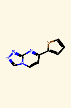 c1csc(-c2ccn3cnnc3n2)c1